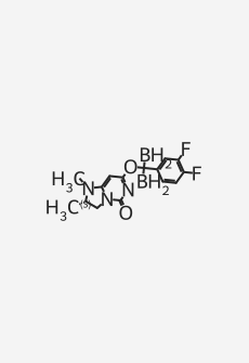 BC(B)(Oc1cc2n(c(=O)n1)C[C@H](C)N2C)c1ccc(F)c(F)c1